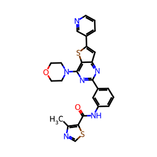 Cc1ncsc1C(=O)Nc1cccc(-c2nc(N3CCOCC3)c3sc(-c4cccnc4)cc3n2)c1